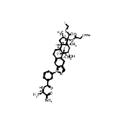 COCC(=O)O[C@]1(C(=O)SCF)[C@H](C)C[C@H]2[C@@H]3CCC4=Cc5c(cnn5-c5cccc(C(=O)N[C@H](C)C(N)=O)c5)C[C@]4(C)[C@@]3(F)[C@@H](O)C[C@@]21C